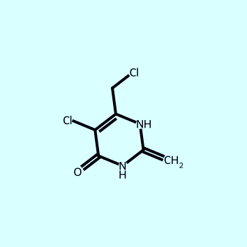 C=C1NC(=O)C(Cl)=C(CCl)N1